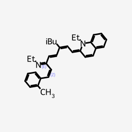 CC/N=C(C=CC(=CC=C1C=Cc2ccccc2N1CC)C(C)CC)/C=C\c1ccccc1C